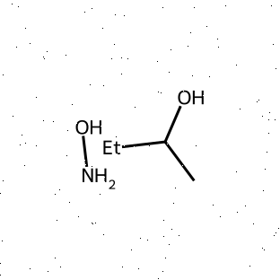 CCC(C)O.NO